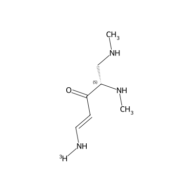 [3H]NC=CC(=O)[C@H](CNC)NC